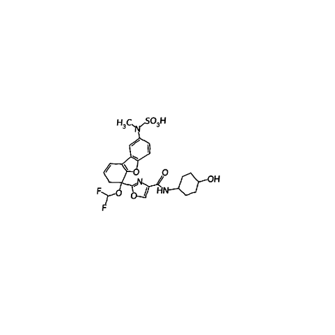 CN(c1ccc2oc3c(c2c1)C=CCC3(OC(F)F)c1nc(C(=O)NC2CCC(O)CC2)co1)S(=O)(=O)O